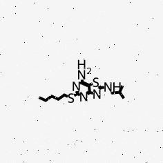 CCCCCSc1nc(N)c2sc(NCC(C)C)nc2n1